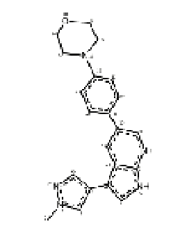 Cn1cc(-c2c[nH]c3ncc(-c4ccc(N5CCOCC5)cc4)cc23)cn1